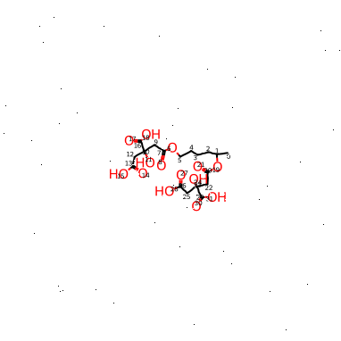 CC(CCCCOC(=O)CC(O)(CC(=O)O)C(=O)O)OC(=O)CC(O)(CC(=O)O)C(=O)O